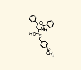 COc1ccc(CSC(O)C(CCc2ccccc2)NC(=O)c2ccccc2)cc1